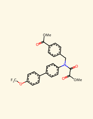 COC(=O)C(=O)N(Cc1ccc(C(=O)OC)cc1)c1ccc(-c2ccc(OC(F)(F)F)cc2)cc1